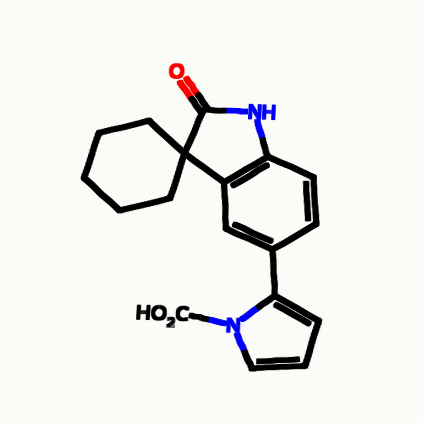 O=C(O)n1cccc1-c1ccc2c(c1)C1(CCCCC1)C(=O)N2